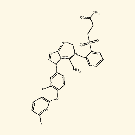 Cc1cccc(Oc2ccc(-n3ccc4c3=C(N)N(c3ccccc3S(=O)(=O)CCC(N)=O)CN=4)cc2F)n1